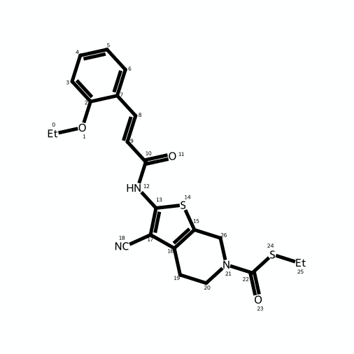 CCOc1ccccc1C=CC(=O)Nc1sc2c(c1C#N)CCN(C(=O)SCC)C2